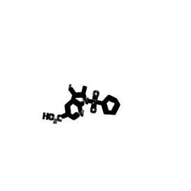 Cc1c(I)c2cc(C(=O)O)cnc2n1S(=O)(=O)c1ccccc1